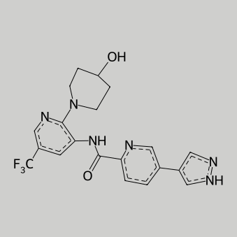 O=C(Nc1cc(C(F)(F)F)cnc1N1CCC(O)CC1)c1ccc(-c2cn[nH]c2)cn1